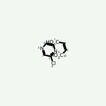 Clc1cnccn1.O=C(O)/C=C\C(=O)O